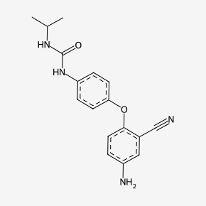 CC(C)NC(=O)Nc1ccc(Oc2ccc(N)cc2C#N)cc1